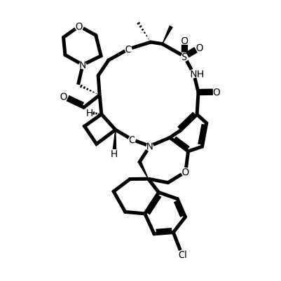 C[C@@H]1[C@@H](C)CCC[C@@](C=O)(CN2CCOCC2)[C@@H]2CC[C@H]2CN2C[C@@]3(CCCc4cc(Cl)ccc43)COc3ccc(cc32)C(=O)NS1(=O)=O